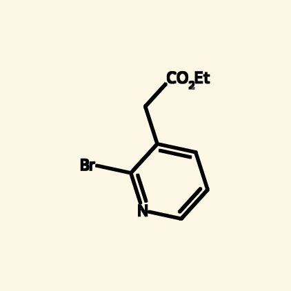 CCOC(=O)Cc1cccnc1Br